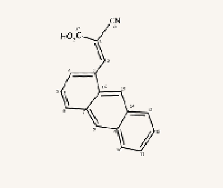 N#CC(=Cc1cccc2cc3ccccc3cc12)C(=O)O